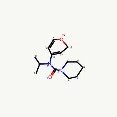 CC(C)N(C(=O)N1CCCCC1)C1=CCOC=C1